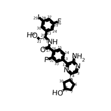 Nc1ncc([C@@H]2CC[C@@H](O)C2)nc1-c1ccc(C(=O)N[C@H](CO)c2cc(F)cc(I)c2)c(F)c1